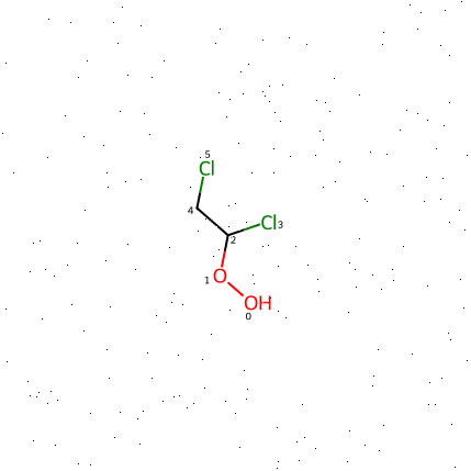 OOC(Cl)CCl